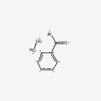 O=C(Br)c1ccccc1.OO